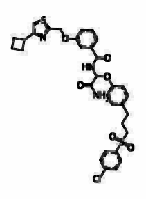 NC(=O)C(NC(=O)c1cccc(OCc2nc(C3CCC3)cs2)c1)Oc1ccc(CCCS(=O)(=O)c2ccc(Cl)cc2)cc1